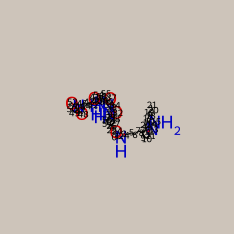 C=C(NCCCCCc1cccc2nc(N)c(CCCCC)cc12)OCc1ccc(NC(=O)[C@H](C)NC(=O)C(NC(=O)CCCCN2C(=O)C=CC2=O)C(C)C)cc1